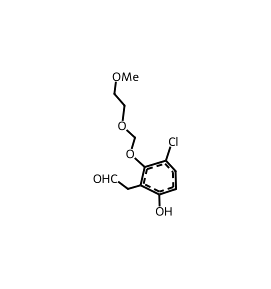 COCCOCOc1c(Cl)ccc(O)c1CC=O